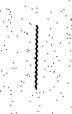 CCCCCCCCCCCCC[CH]CCCCCCCCCCCCCC